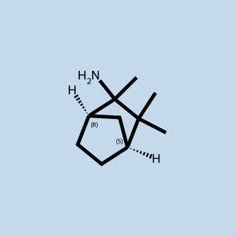 CC1(C)[C@H]2CC[C@H](C2)C1(C)N